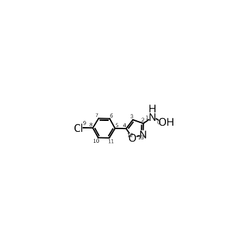 ONc1cc(-c2ccc(Cl)cc2)on1